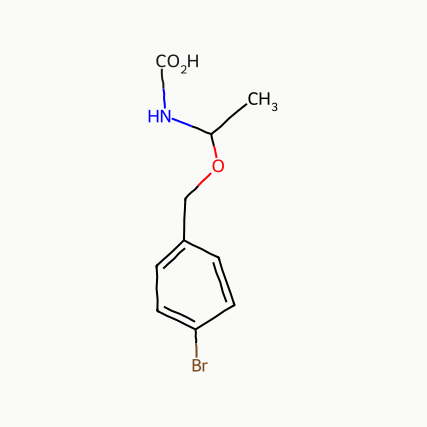 CC(NC(=O)O)OCc1ccc(Br)cc1